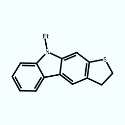 CCn1c2ccccc2c2cc3c(cc21)SCC3